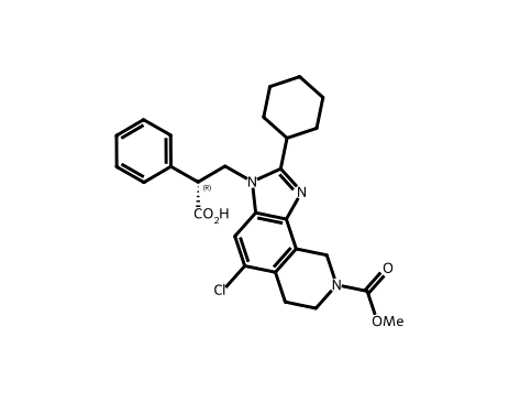 COC(=O)N1CCc2c(Cl)cc3c(nc(C4CCCCC4)n3C[C@H](C(=O)O)c3ccccc3)c2C1